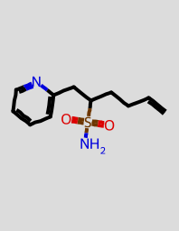 C=CCCC(Cc1ccccn1)S(N)(=O)=O